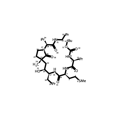 CSCC[C@H](NC(=O)[C@@H](NC(=O)OC(C)(C)C)C(C)C)C(=O)N[C@@H](CC(C)C)[C@@H](O)C[C@]1(C)CCN([C@H](C(=O)NCC(C)C)C(C)C)C1=O